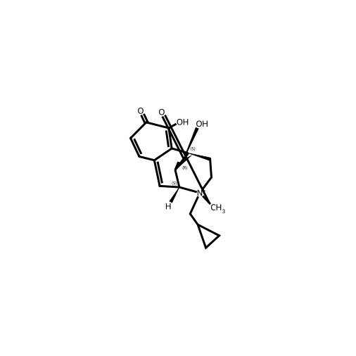 C[N+]1(CC2CC2)CC[C@@]23C4=C(O)C(=O)C=CC4=C[C@@H]1C2CCC(=O)[C@@H]3O